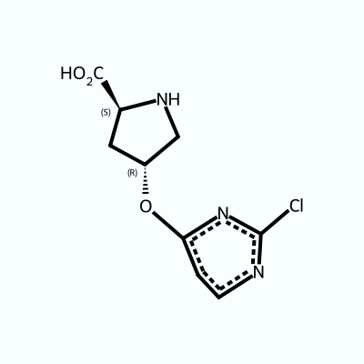 O=C(O)[C@@H]1C[C@@H](Oc2ccnc(Cl)n2)CN1